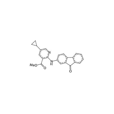 COC(=O)c1cc(C2CC2)cnc1Nc1ccc2c(c1)C(=O)c1ccccc1-2